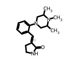 CC1CN(c2ccccc2/C=C2\CCNC2=O)CC(C)N1C